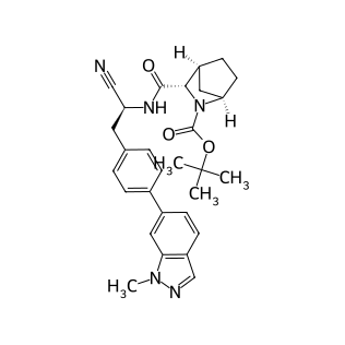 Cn1ncc2ccc(-c3ccc(C[C@@H](C#N)NC(=O)[C@@H]4[C@H]5CC[C@H](C5)N4C(=O)OC(C)(C)C)cc3)cc21